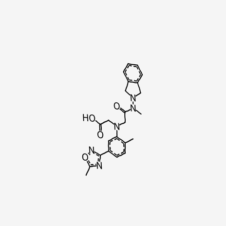 Cc1nc(-c2ccc(C)c(N(CC(=O)O)CC(=O)N(C)N3Cc4ccccc4C3)c2)no1